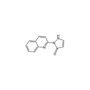 O=c1cc[nH]n1-c1ccc2ccccc2n1